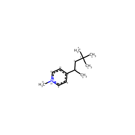 CC(CC(C)(C)C)c1cc[n+](C)cc1